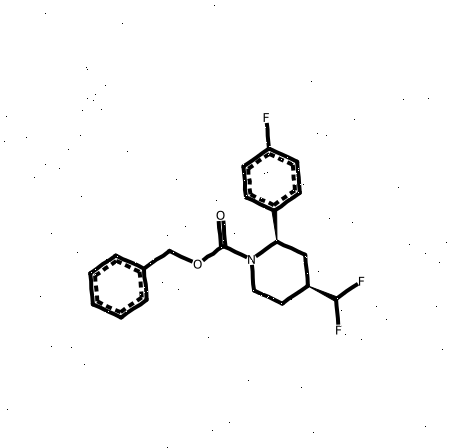 O=C(OCc1ccccc1)N1CC[C@H](C(F)F)C[C@@H]1c1ccc(F)cc1